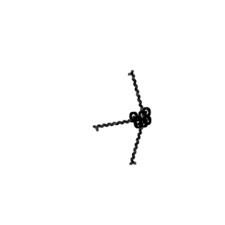 CC(C)CCCCCCCCCCCCCCC(=O)OCC(OC(=O)CCCCCCCCCCCCCCC(C)C)C1(OC(=O)CCCCCCCCCCCCCCC(C)C)CCO1